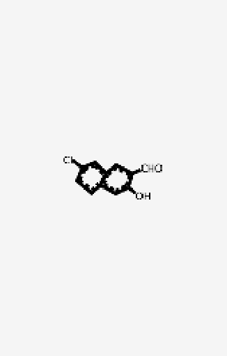 O=Cc1cc2cc(Cl)ccc2cc1O